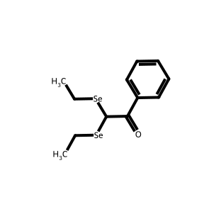 CC[Se]C([Se]CC)C(=O)c1ccccc1